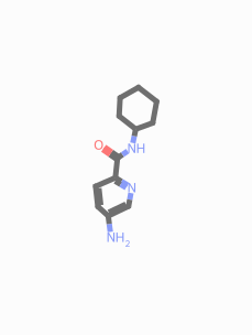 Nc1ccc(C(=O)NC2CCCCC2)nc1